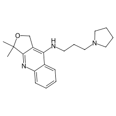 CC1(C)OCc2c1nc1ccccc1c2NCCCN1CCCC1